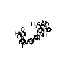 CC(=O)c1c(C)c2cnc(Nc3ccc(N4CCN(Cc5cc(N6CCC(=O)NC6=O)cnc5F)CC4)cn3)nc2n(C2CCCC2)c1=O